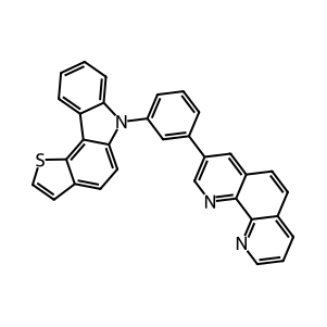 c1cc(-c2cnc3c(ccc4cccnc43)c2)cc(-n2c3ccccc3c3c4sccc4ccc32)c1